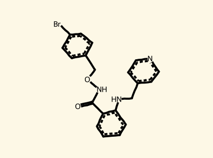 O=C(NOCc1ccc(Br)cc1)c1ccccc1NCc1ccncc1